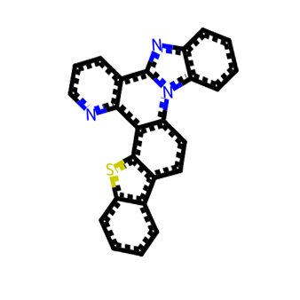 c1ccc2c(c1)nc1c3cccnc3c3c4sc5ccccc5c4ccc3n21